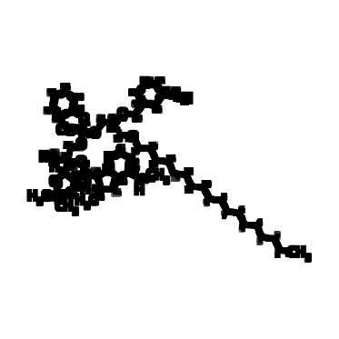 CCCCCCCCCCCCCCCCCCOC[C@H](COP(=O)(OC[C@@]1(C#N)O[C@@H](C2C(C)C=C3C(NC)=NC=NN32)[C@@H]2OC(C)(C)O[C@@H]21)Oc1ccccc1Cl)OCc1cncc(C#N)c1